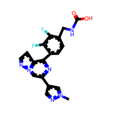 Cn1cc(-c2cn3nccc3c(-c3ccc(CNC(=O)O)c(F)c3F)n2)cn1